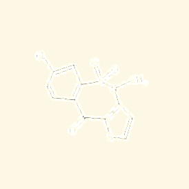 CN1c2ccsc2C(=O)c2ccc(Cl)cc2S1(=O)=O